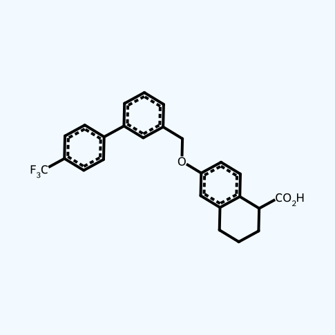 O=C(O)C1CCCc2cc(OCc3cccc(-c4ccc(C(F)(F)F)cc4)c3)ccc21